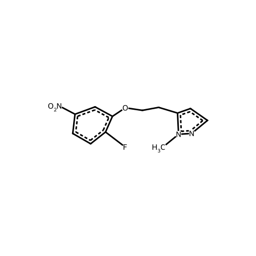 Cn1nccc1CCOc1cc([N+](=O)[O-])ccc1F